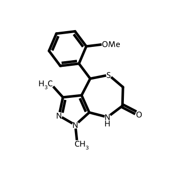 COc1ccccc1C1SCC(=O)Nc2c1c(C)nn2C